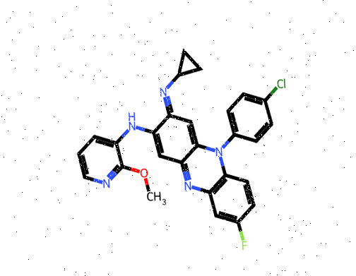 COc1ncccc1Nc1cc2nc3cc(F)ccc3n(-c3ccc(Cl)cc3)c-2c/c1=N\C1CC1